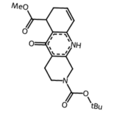 COC(=O)C1CC=Cc2[nH]c3c(c(=O)c21)CCN(C(=O)OC(C)(C)C)C3